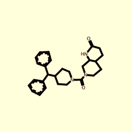 O=C1CCC2CCN(C(=O)N3CCC(C(c4ccccc4)c4ccccc4)CC3)CC2N1